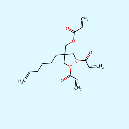 C=CCCCCC(COC(=O)C=C)(COC(=O)C=C)COC(=O)C=C